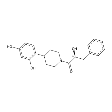 O=C([C@@H](O)Cc1ccccc1)N1CCC(c2ccc(O)cc2O)CC1